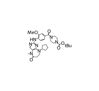 COc1cc(C(=O)N2CCN(C(=O)OC(C)(C)C)CC2)ccc1Nc1ncc2c(n1)N(C1CCCC1)CCC(=O)N2C